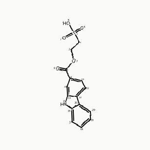 O=C(OCCS(=O)(=O)O)c1ccc2c(c1)[nH]c1ccccc12